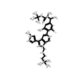 Cc1cc(C(C)N(C)C(=O)OC(C)(C)C)cc(F)c1-c1cc2c(-c3cnn(C)c3)nn(COCC[Si](C)(C)C)c2cn1